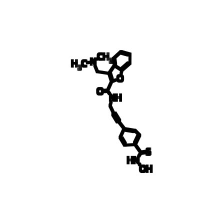 CN(C)Cc1c(C(=O)NCC#Cc2ccc(C(=S)NO)cc2)oc2ccccc12